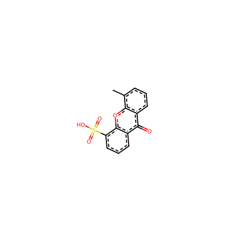 Cc1cccc2c(=O)c3cccc(S(=O)(=O)O)c3oc12